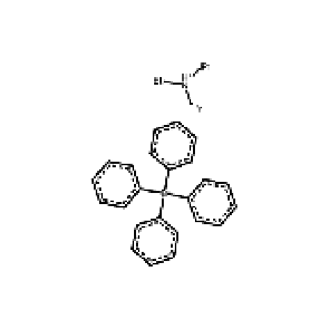 CC[NH+](C(C)C)C(C)C.c1ccc([B-](c2ccccc2)(c2ccccc2)c2ccccc2)cc1